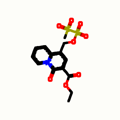 CCOC(=O)c1cc(COS(=O)(=O)S(C)(=O)=O)c2ccccn2c1=O